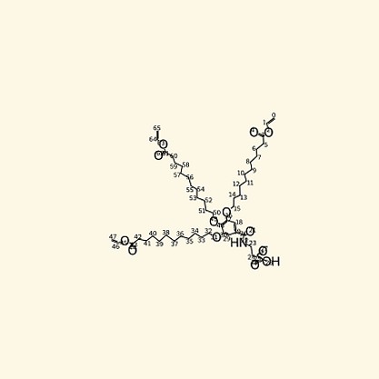 C=COC(=O)CCCCCCCCCCCOc1cc(C(=O)NCCS(=O)(=O)O)cc(OCCCCCCCCCCCC(=O)OC=C)c1OCCCCCCCCCCCC(=O)OC=C